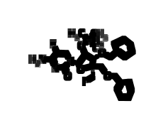 C[Si](C)(C)OC1[C@H](n2cc(F)c(N)nc2=O)O[C@](CF)(COCc2ccccc2)[C@H]1OCc1ccccc1